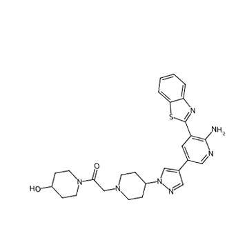 Nc1ncc(-c2cnn(C3CCN(CC(=O)N4CCC(O)CC4)CC3)c2)cc1-c1nc2ccccc2s1